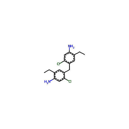 CCc1cc(Cc2cc(CC)c(N)cc2Cl)c(Cl)cc1N